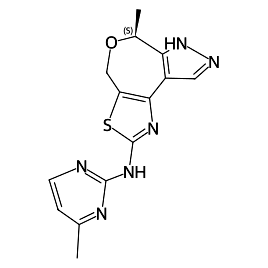 Cc1ccnc(Nc2nc3c(s2)CO[C@@H](C)c2[nH]ncc2-3)n1